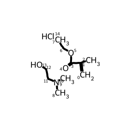 C=C(C)C(=O)OCC.CN(C)CCO.Cl